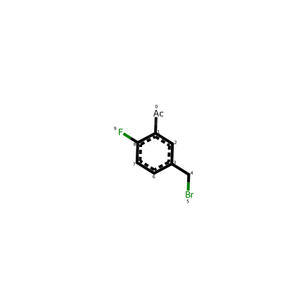 CC(=O)c1cc(CBr)ccc1F